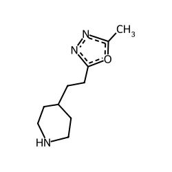 Cc1nnc(CCC2CCNCC2)o1